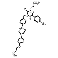 CCCCOCCOc1ccc(-c2cnc(-c3ccc(C[C@H](NC(=O)c4ccc(C(C)(C)C)cc4)C(=O)NCCC(=O)O)cc3)nc2)cc1